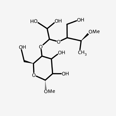 CO[C@@H]1O[C@@H](CO)C(OC(OC(CO)[C@H](C)OC)C(O)O)C(O)C1O